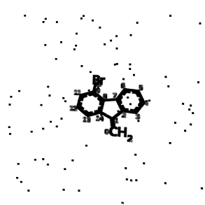 C=C1c2ccccc2-c2c(Br)cccc21